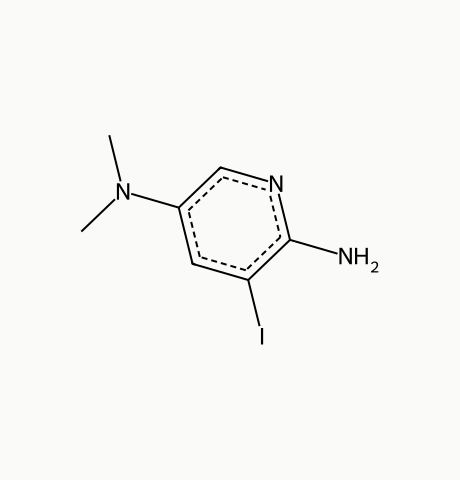 CN(C)c1cnc(N)c(I)c1